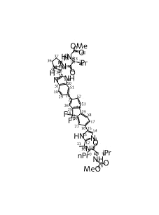 CCCN(C(=O)[C@@H](NC(=O)OC)C(C)C)[C@@H](C)c1ncc(-c2ccc3c(c2)C(F)(F)c2cc(-c4ccc5nc([C@@H]6[C@H]7CC[C@H](C7)N6C(=O)[C@@H](NC(=O)OC)C(C)C)[nH]c5c4)ccc2-3)[nH]1